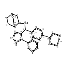 Fc1ccccc1-c1[nH]ncc1C(NC1CN2CCC1CC2)c1ccc(-c2ccccc2)cc1